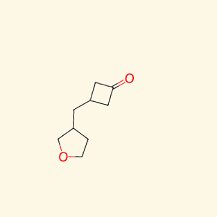 O=C1CC(CC2CCOC2)C1